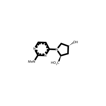 CNc1nccc(N2C[C@H](O)C[C@H]2C(=O)O)n1